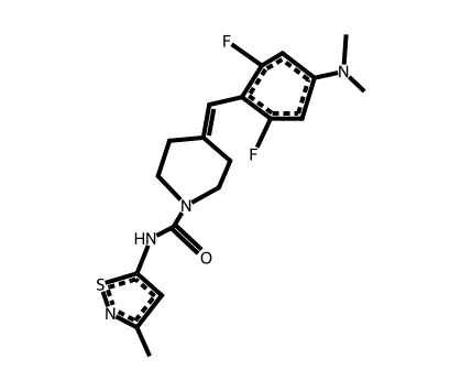 Cc1cc(NC(=O)N2CCC(=Cc3c(F)cc(N(C)C)cc3F)CC2)sn1